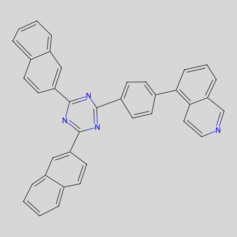 c1ccc2cc(-c3nc(-c4ccc(-c5cccc6cnccc56)cc4)nc(-c4ccc5ccccc5c4)n3)ccc2c1